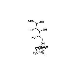 CC(=O)O.CC(=O)O.CC(=O)O.O=CC(O)C(O)C(O)C(O)CO